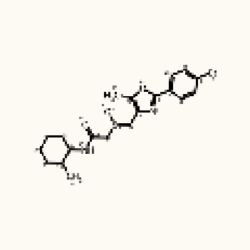 CCc1ccc(-c2nc(C[S+]([O-])CC(=O)NC3CCCCC3C)c(C)o2)cc1